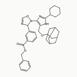 O=C(OCc1ccccc1)c1cccc(C2N=CON2c2nc(C3CCCCC3)[nH]c2COC23CC4CC(CC(C4)C2)C3)c1